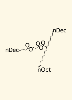 CCCCCCCCC=CCCCCCCC(CCCCCCCCCCCCCCCC)C(=O)OC(=O)CCOC(=O)CCCCCCCCCCCCC